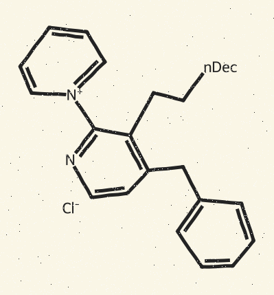 CCCCCCCCCCCCc1c(Cc2ccccc2)ccnc1-[n+]1ccccc1.[Cl-]